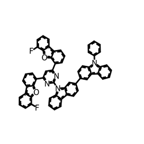 Fc1cccc2c1oc1c(-c3cc(-c4cccc5c4oc4c(F)cccc45)nc(-n4c5ccccc5c5ccc(-c6ccc7c(c6)c6ccccc6n7-c6ccccc6)cc54)n3)cccc12